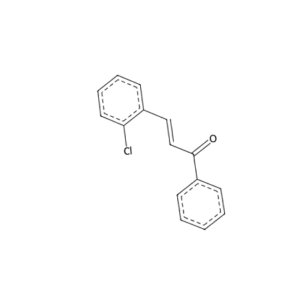 O=C(C=Cc1ccccc1Cl)c1ccccc1